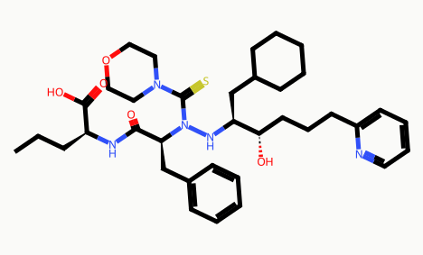 CCC[C@H](NC(=O)[C@H](Cc1ccccc1)N(N[C@@H](CC1CCCCC1)[C@@H](O)CCCc1ccccn1)C(=S)N1CCOCC1)C(=O)O